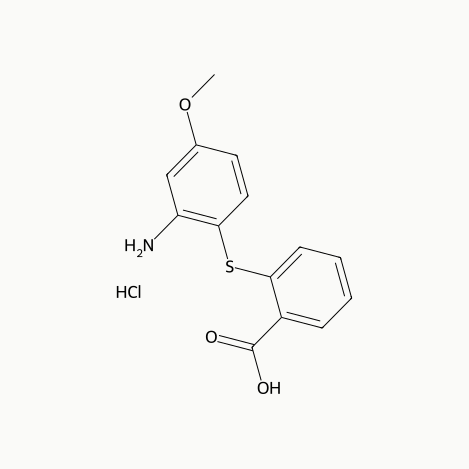 COc1ccc(Sc2ccccc2C(=O)O)c(N)c1.Cl